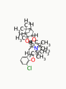 CC1(C)[C@@H]2C[C@H]3OB([C@H](Cc4coc5c(Cl)cccc45)N([Si](C)(C)C)[Si](C)(C)C)O[C@@]3(C)[C@H]1C2